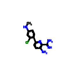 CNc1ccc(-c2ccc(N)c(C(=N)N)n2)c(Cl)c1